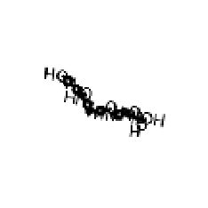 O=C(O)CNC(=O)Cn1ccc2cc(NC(=O)c3ccc(-n4ccc5cc(NC(=O)c6ccc(N7CCC(O)CC7)cc6)ccc54)cc3)ccc21